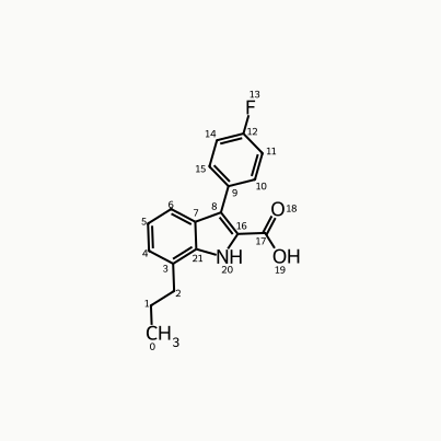 CCCc1cccc2c(-c3ccc(F)cc3)c(C(=O)O)[nH]c12